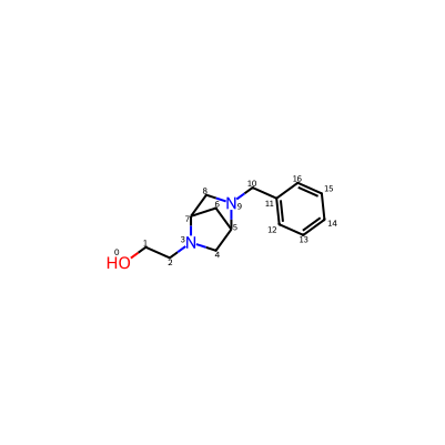 OCCN1CC2CC1CN2Cc1ccccc1